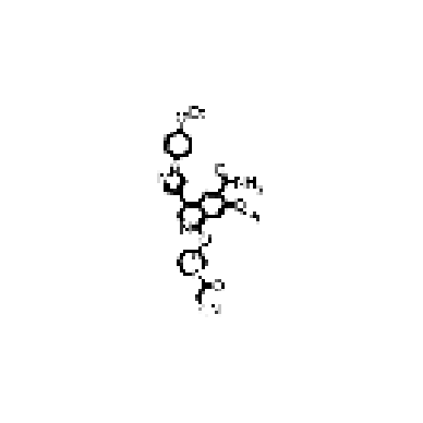 CCO[C@H]1CC[C@H](n2cc(-c3cnc(O[C@@H]4CCCN(C(=O)CC#N)C4)c4cc(OC(C)C)c(C(N)=O)cc34)cn2)CC1